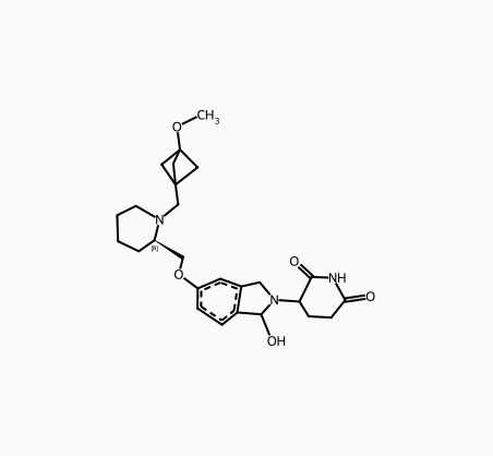 COC12CC(CN3CCCC[C@@H]3COc3ccc4c(c3)CN(C3CCC(=O)NC3=O)C4O)(C1)C2